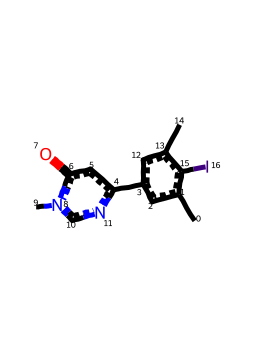 Cc1cc(-c2cc(=O)n(C)cn2)cc(C)c1I